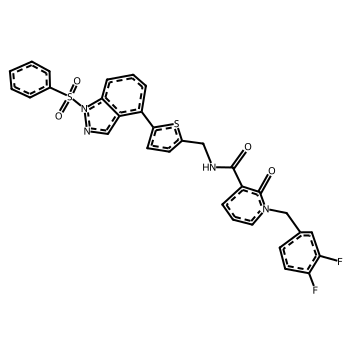 O=C(NCc1ccc(-c2cccc3c2cnn3S(=O)(=O)c2ccccc2)s1)c1cccn(Cc2ccc(F)c(F)c2)c1=O